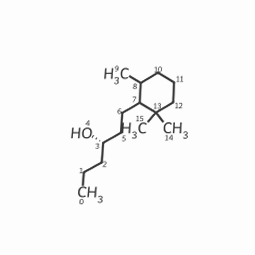 CCC[C@H](O)CCC1C(C)CCCC1(C)C